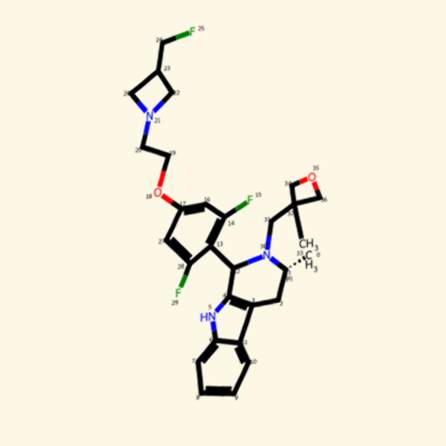 C[C@@H]1Cc2c([nH]c3ccccc23)C(c2c(F)cc(OCCN3CC(CF)C3)cc2F)N1CC1(C)COC1